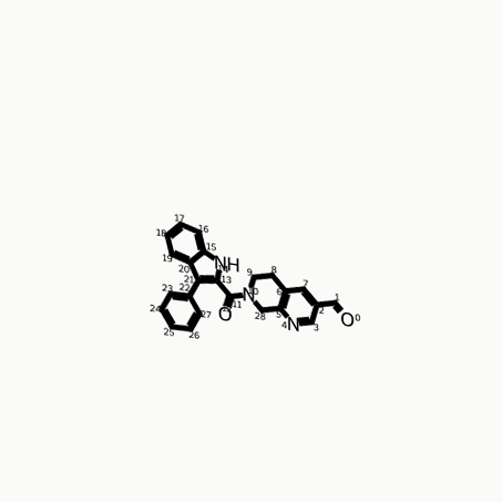 O=Cc1cnc2c(c1)CCN(C(=O)c1[nH]c3ccccc3c1-c1ccccc1)C2